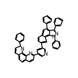 c1ccc(-c2ccc3ccc4ccc(-c5cncc(-c6ccc7cc(-c8ccccc8)c8c(-c9ccccc9)nn(-c9ccccc9)c8c7c6)c5)nc4c3n2)cc1